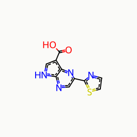 O=C(O)c1c[nH]c2ncc(-c3nccs3)nc12